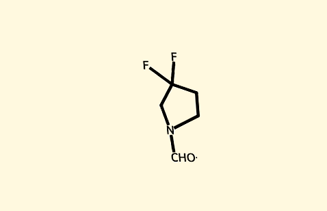 O=[C]N1CCC(F)(F)C1